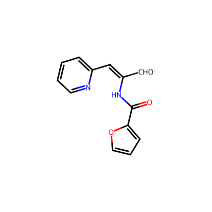 O=[C]C(=Cc1ccccn1)NC(=O)c1ccco1